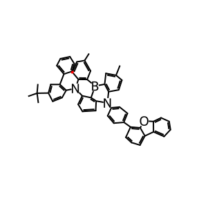 Cc1ccc2c(c1)B1c3cc(C)ccc3N(c3ccc(C(C)(C)C)cc3-c3ccccc3)c3cccc(c31)N2c1ccc(-c2cccc3c2oc2ccccc23)cc1